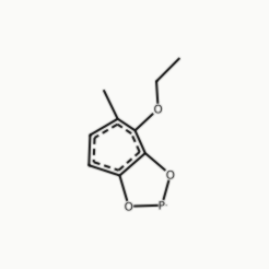 CCOc1c(C)ccc2c1O[P]O2